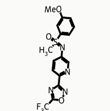 COc1cccc(S(C)(=O)=Nc2ccc(-c3noc(C(F)(F)F)n3)nc2)c1